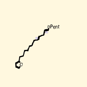 CCCCC/C=C/C/C=C/CCCCCCCc1ccco1